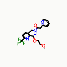 COCCOCc1nc(C(F)(F)F)ccc1CNC(=O)Cc1ccccn1